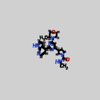 CNC(=O)N1CCC(c2cc(N3CCOC[C@H]3C)nc(-c3ccnc4[nH]ccc34)n2)C1